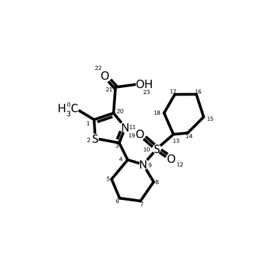 Cc1sc(C2CCCCN2S(=O)(=O)C2CCCCC2)nc1C(=O)O